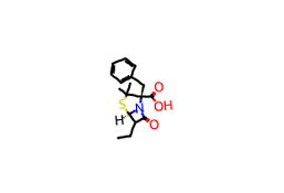 CCC1C(=O)N2[C@@H]1SC(C)(C)[C@]2(Cc1ccccc1)C(=O)O